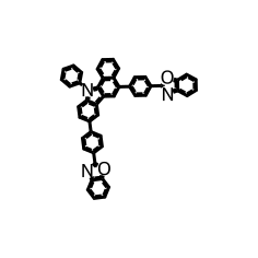 c1ccc(-n2c3ccc(-c4ccc(-c5nc6ccccc6o5)cc4)cc3c3cc(-c4ccc(-c5nc6ccccc6o5)cc4)c4ccccc4c32)cc1